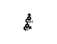 CC(C)(C)c1ccc2c(c1)CCC(c1cc(C(C)(C)C)c3ncccc3c1)N2